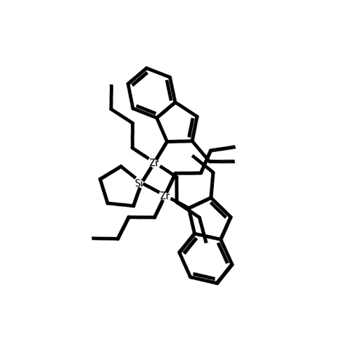 CCC[CH2][Zr]([CH2]CCC)([CH]1C(CC)=Cc2ccccc21)[Si]1([Zr]([CH2]CCC)([CH2]CCC)[CH]2C(CC)=Cc3ccccc32)CCCC1